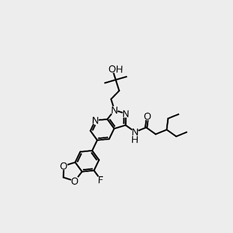 CCC(CC)CC(=O)Nc1nn(CCC(C)(C)O)c2ncc(-c3cc(F)c4c(c3)OCO4)cc12